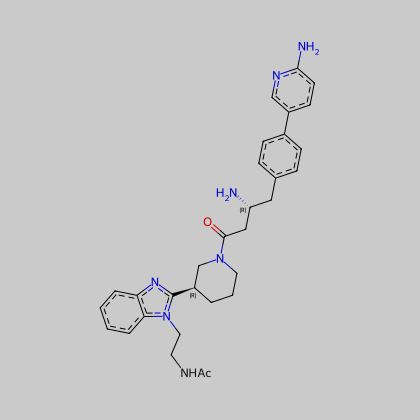 CC(=O)NCCn1c([C@@H]2CCCN(C(=O)C[C@H](N)Cc3ccc(-c4ccc(N)nc4)cc3)C2)nc2ccccc21